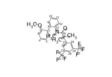 COc1ccccc1-c1ccccc1N(C)C(=O)C(C)(C)c1cc(C(F)(F)F)cc(C(F)(F)F)c1